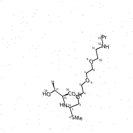 CSC(COCCOCCOCCNC(C)C)N[C@H](C(=O)O)[C@H](C)O